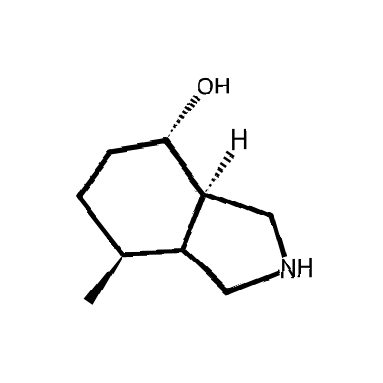 C[C@H]1CC[C@H](O)[C@H]2CNCC12